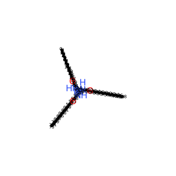 CCCCCCCCCCCCCCCCCCOCCCNc1nc(NCCCOCCCCCCCCCCCCCCCCCC)nc(NCCCOCCCCCCCCCCCCCCCCCC)n1